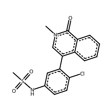 Cn1cc(-c2cc(NS(C)(=O)=O)ccc2Cl)c2ccccc2c1=O